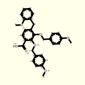 COc1ccc(COc2c(Cc3ccccc3OC)ccc(C(=O)O)c2OCc2ccc(OC)cc2)cc1